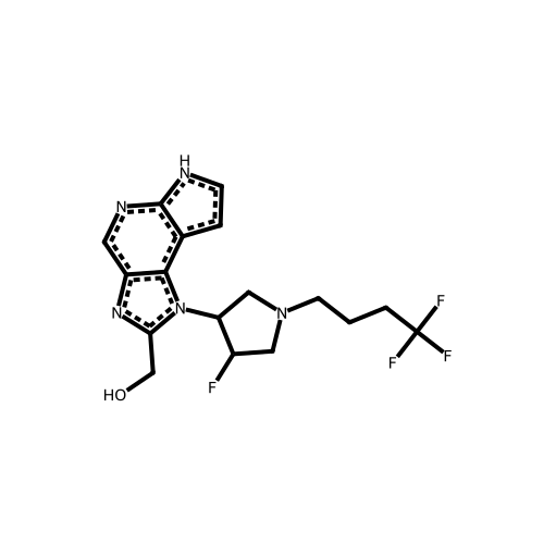 OCc1nc2cnc3[nH]ccc3c2n1C1CN(CCCC(F)(F)F)CC1F